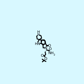 CC(C)(C)OC(=O)CC[C@@H](C(N)=O)N1Cc2c(ccc3c2NCC32CCNCC2)C1=O